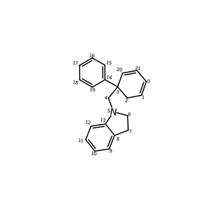 C1=CCC(CN2CCc3ccccc32)(c2ccccc2)C=C1